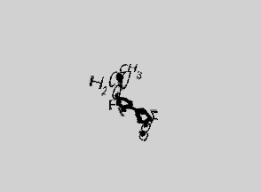 C=C(C)C(=O)Oc1ccc(-c2ccc(OC=O)c(F)c2)c(F)c1F